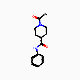 CC(C)C(=O)N1CCC(C(=O)Nc2ccccc2)CC1